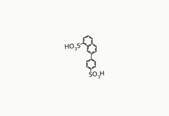 O=S(=O)(O)c1ccc(-c2ccc3cccc(S(=O)(=O)O)c3c2)cc1